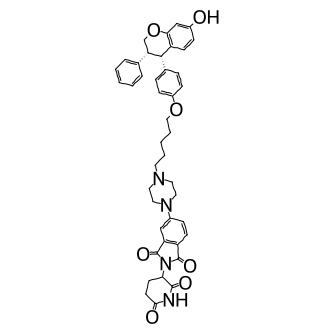 O=C1CCC(N2C(=O)c3ccc(N4CCN(CCCCCOc5ccc([C@H]6c7ccc(O)cc7OC[C@H]6c6ccccc6)cc5)CC4)cc3C2=O)C(=O)N1